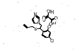 C=CCSC(Cn1ccnc1)c1ccc(Cl)cc1Cl.O=C(O)C(=O)O